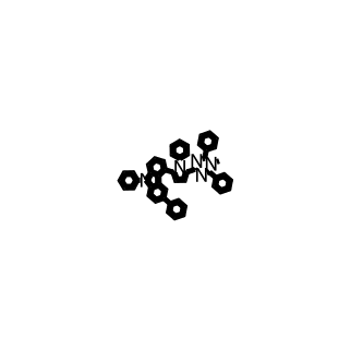 CN1C(c2ccccc2)=NC(c2ccc(-c3cccc4c3c3cc(-c5ccccc5)ccc3n4-c3ccccc3)n2-c2ccccc2)=NC1c1ccccc1